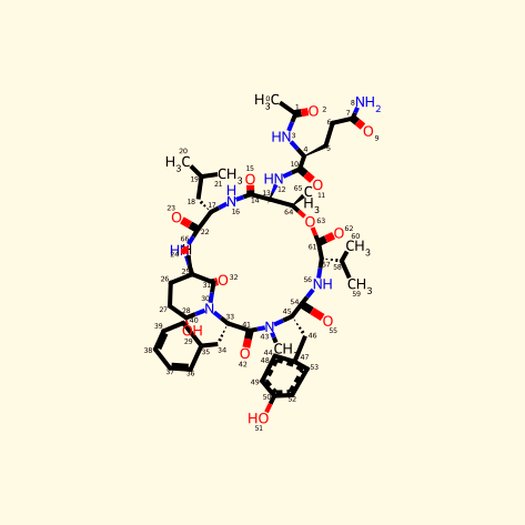 CC(=O)N[C@@H](CCC(N)=O)C(=O)N[C@@H]1C(=O)N[C@@H](CC(C)C)C(=O)N[C@H]2CC[C@@H](O)N(C2=O)[C@@H](CC2C=CC=CC2)C(=O)N(C)[C@@H](Cc2ccc(O)cc2)C(=O)N[C@@H](C(C)C)C(=O)O[C@@H]1C